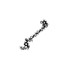 C=C1C=CC(C(=O)NCCOCCOCCOCCOCCC(=O)ON2C(=O)CCC2=O)=C/C1=N/OC